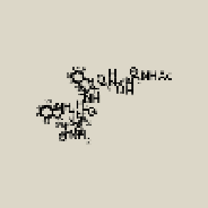 CC(=O)NCC(=O)NCC(=O)NCC(=O)N[C@H](Cc1ccccc1)C(=O)NCC(=O)N[C@@H](C)C(=O)N[C@@H](Cc1c[nH]c2ccccc12)C(N)=O